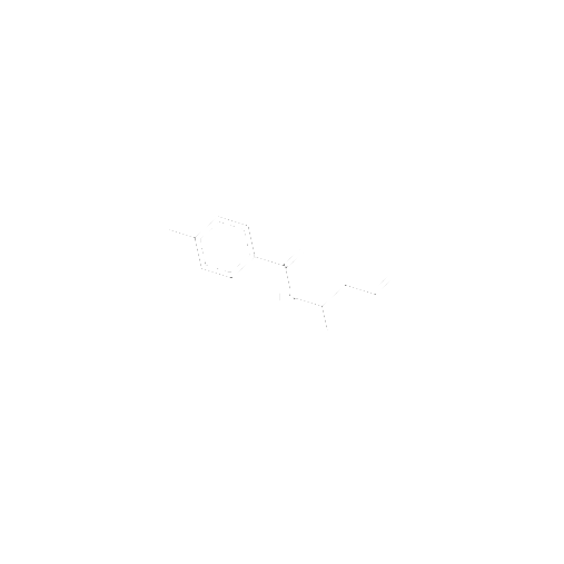 CC(CC=O)NC(=O)c1ccc(F)cc1